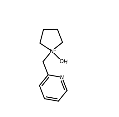 O[N+]1(Cc2ccccn2)CCCC1